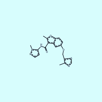 Cc1ncsc1COc1ccc2oc(C)c(C(=O)Nc3ccnn3C)c2c1